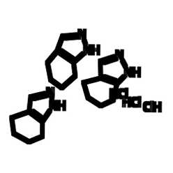 Cl.Cl.Cl.c1n[nH]c2c1CCCC2.c1n[nH]c2c1CCCC2.c1n[nH]c2c1CCCC2